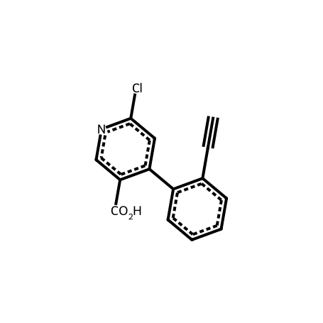 C#Cc1ccccc1-c1cc(Cl)ncc1C(=O)O